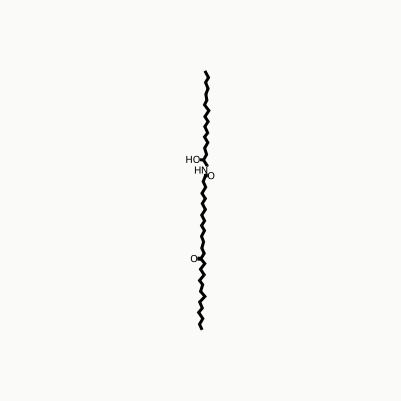 CCCCCCCCCCCCCCCCC(O)CNC(=O)CCCCCCCCCCCCCCC(=O)CCCCCCCCCCCCC